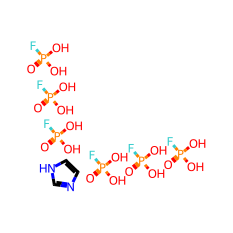 O=P(O)(O)F.O=P(O)(O)F.O=P(O)(O)F.O=P(O)(O)F.O=P(O)(O)F.O=P(O)(O)F.c1c[nH]cn1